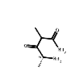 CC(C(N)=O)C(=O)[C@@H](C)N